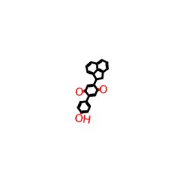 O=C1C=C(C2Cc3cccc4cccc2c34)C(=O)C=C1c1ccc(O)cc1